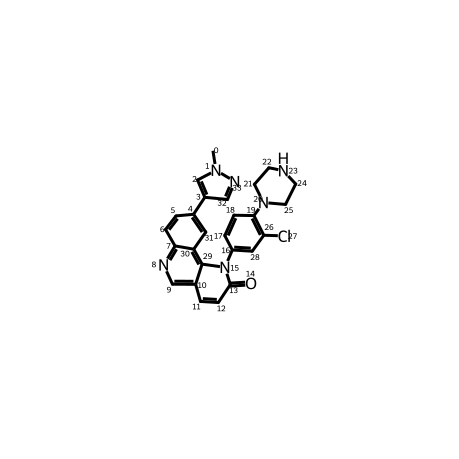 Cn1cc(-c2ccc3ncc4ccc(=O)n(-c5ccc(N6CCNCC6)c(Cl)c5)c4c3c2)cn1